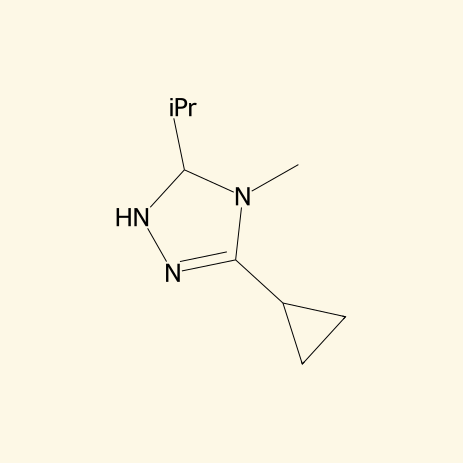 CC(C)C1NN=C(C2CC2)N1C